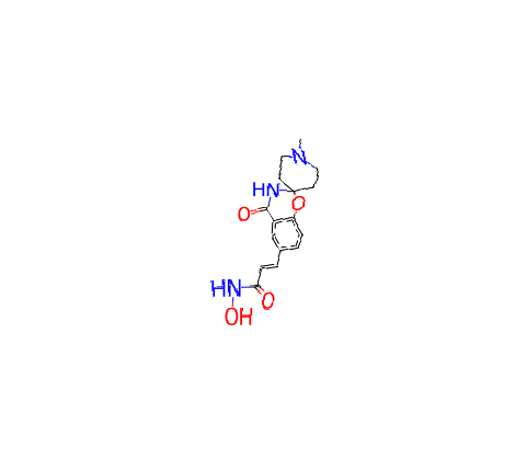 CN1CCC2(CC1)NC(=O)c1cc(C=CC(=O)NO)ccc1O2